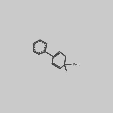 CCCCCC1(I)C=CC(c2ccccc2)=CC1